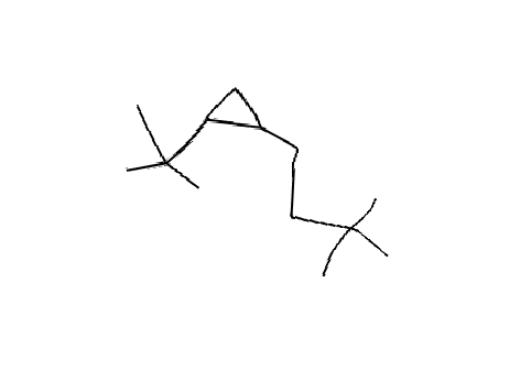 CC(C)(C)CCC1CC1C(C)(C)C